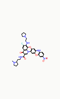 CN1CCCC1CCNC(=O)c1cn2c3cc4oc5cc([N+](=O)[O-])ccc5[nH]c4cc3oc3c(NCCN4CCCC4)c(F)cc(c1=O)c32